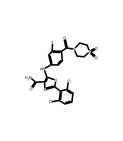 NC(=O)c1nc(-c2c(Cl)cccc2Cl)oc1Nc1ccc(C(=O)N2CCS(=O)(=O)CC2)c(F)c1